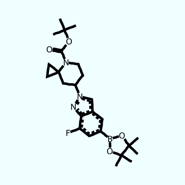 CC(C)(C)OC(=O)N1CCC(n2cc3cc(B4OC(C)(C)C(C)(C)O4)cc(F)c3n2)CC12CC2